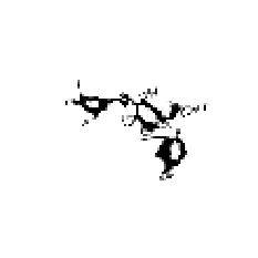 OCC1OC(Sc2cc(Br)ccc2F)C(O)C(n2cc(-c3cc(F)c(F)c(F)c3)nn2)C1O